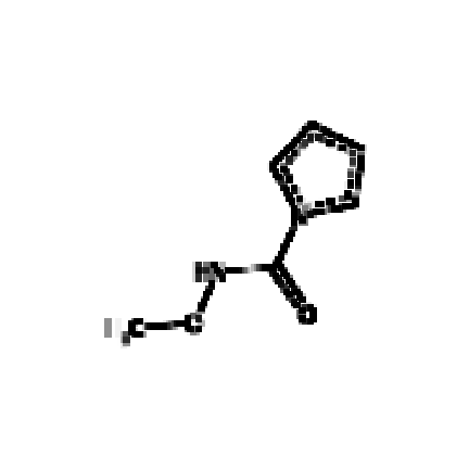 CONC(=O)n1cccc1